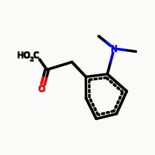 CN(C)c1ccccc1CC(=O)C(=O)O